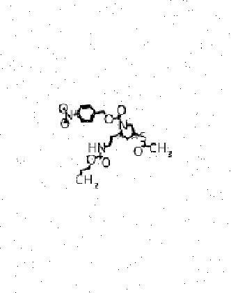 C=CCOC(=O)NCC[C@@H]1C[C@H](SC(C)=O)CN1C(=O)OCc1ccc([N+](=O)[O-])cc1